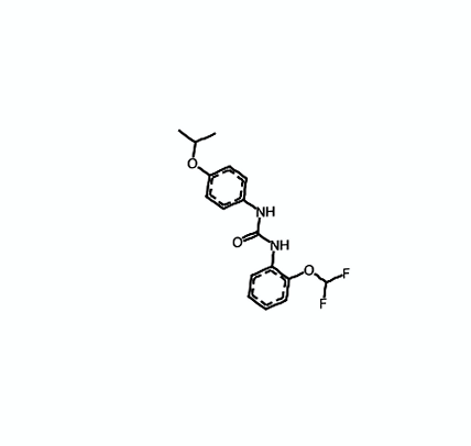 CC(C)Oc1ccc(NC(=O)Nc2ccccc2OC(F)F)cc1